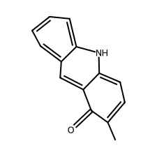 Cc1ccc2[nH]c3ccccc3cc-2c1=O